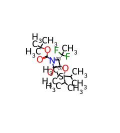 CC(C)[Si](O[C@@H]1C(=O)N(C(=O)OC(C)(C)C)[C@@H]1C(C)(F)F)(C(C)C)C(C)C